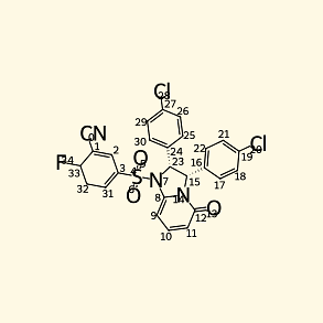 N#CC1=CC(S(=O)(=O)N2c3cccc(=O)n3[C@@H](c3ccc(Cl)cc3)[C@H]2c2ccc(Cl)cc2)=CCC1F